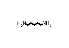 N[CH]CCC[CH]N